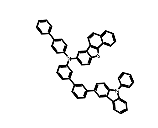 c1ccc(-c2ccc(N(c3cccc(-c4cccc(-c5ccc6c(c5)c5ccccc5n6-c5ccccc5)c4)c3)c3ccc4sc5c6ccccc6ccc5c4c3)cc2)cc1